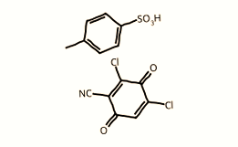 Cc1ccc(S(=O)(=O)O)cc1.N#CC1=C(Cl)C(=O)C(Cl)=CC1=O